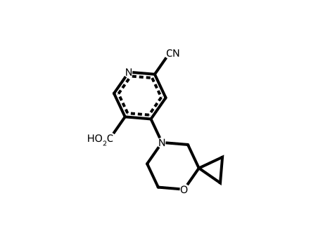 N#Cc1cc(N2CCOC3(CC3)C2)c(C(=O)O)cn1